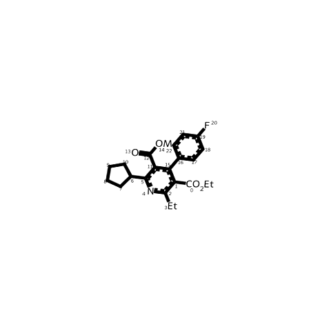 CCOC(=O)c1c(CC)nc(C2CCCC2)c(C(=O)OC)c1-c1ccc(F)cc1